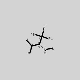 CN[C@H](C(C)C)C(F)(F)F